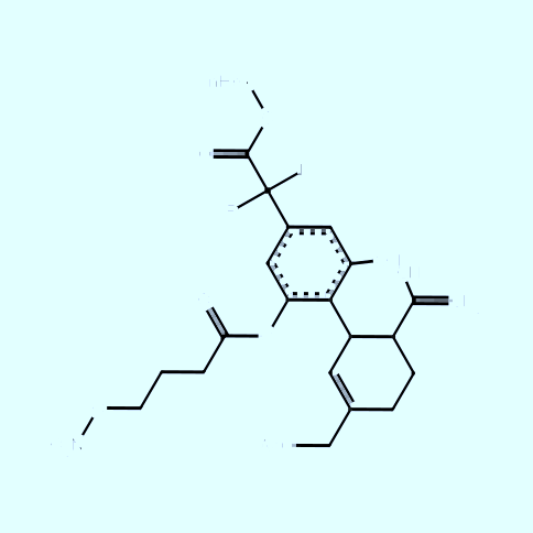 C=C(C)C1CCC(COC(C)=O)=CC1c1c(O)cc(C(F)(F)C(=O)OCCCCCC)cc1OC(=O)CCCO[N+](=O)[O-]